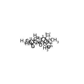 CCN(c1c(C2CCC2)ccc(C(=O)NCc2c(C)cc(C)[nH]c2=O)c1C)C1CCOCC1